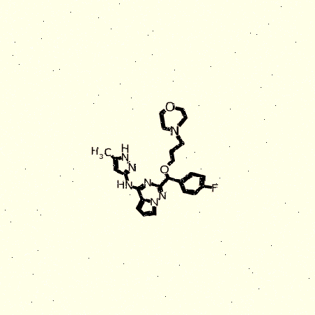 Cc1cc(Nc2nc(C(OCCCN3CCOCC3)c3ccc(F)cc3)nn3cccc23)n[nH]1